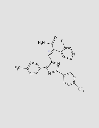 NC(=O)/C(=C/n1nc(-c2ccc(C(F)(F)F)cc2)nc1-c1ccc(C(F)(F)F)cc1)c1ccncc1F